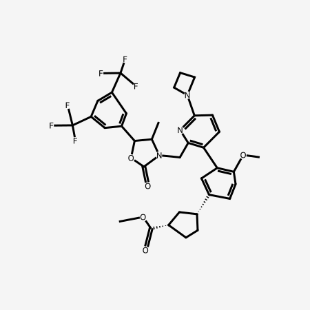 COC(=O)[C@H]1CC[C@@H](c2ccc(OC)c(-c3ccc(N4CCC4)nc3CN3C(=O)OC(c4cc(C(F)(F)F)cc(C(F)(F)F)c4)C3C)c2)C1